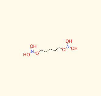 ON(O)OCCCCCON(O)O